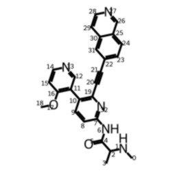 CNC(C)C(=O)Nc1ccc(-c2cnccc2OC)c(C#Cc2ccc3cnccc3c2)n1